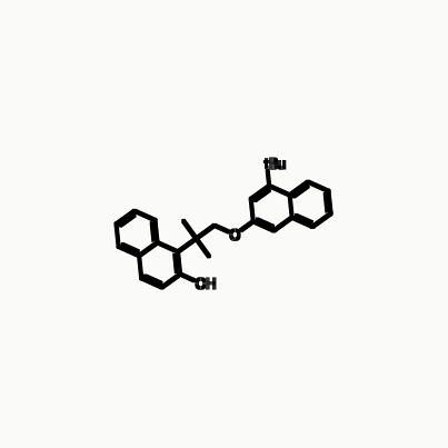 CC(C)(C)c1cc(OCC(C)(C)c2c(O)ccc3ccccc23)cc2ccccc12